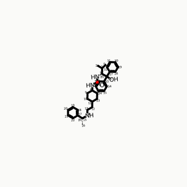 CC(C)[C@@H](NC(=O)NC1CCC(CCN[C@H](C)c2ccccc2)CC1)C(O)(c1ccccc1)c1ccccc1